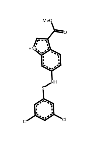 COC(=O)c1c[nH]c2cc(NSc3cc(Cl)cc(Cl)c3)ccc12